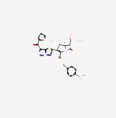 C[C@@H](O)[C@H]1C(=O)N2C(C(=O)OCc3ccc([N+](=O)[O-])cc3)=C(c3cn4cnc(C(=O)c5cccs5)c4s3)[C@H](C)[C@H]12